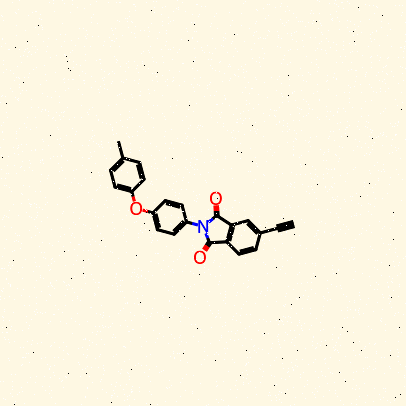 C#Cc1ccc2c(c1)C(=O)N(c1ccc(Oc3ccc(C)cc3)cc1)C2=O